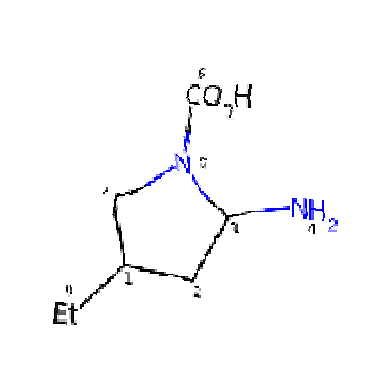 CCC1CC(N)N(C(=O)O)C1